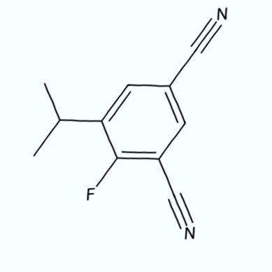 CC(C)c1cc(C#N)cc(C#N)c1F